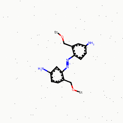 CCOCc1cc(N)ccc1/N=N/c1cc(N)ccc1COCC